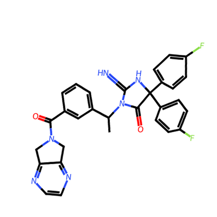 CC(c1cccc(C(=O)N2Cc3nccnc3C2)c1)N1C(=N)NC(c2ccc(F)cc2)(c2ccc(F)cc2)C1=O